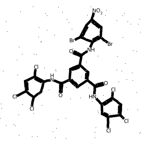 O=C(NC1=C(Cl)C=C(Cl)C(Cl)C1)c1cc(C(=O)Nc2cc(Cl)c(Cl)cc2Cl)cc(C(=O)Nc2c(Br)cc([N+](=O)[O-])cc2Br)c1